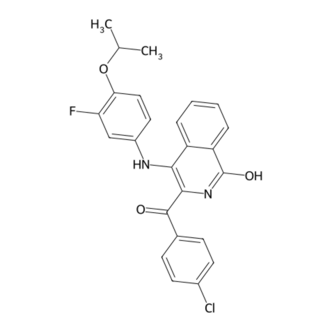 CC(C)Oc1ccc(Nc2c(C(=O)c3ccc(Cl)cc3)nc(O)c3ccccc23)cc1F